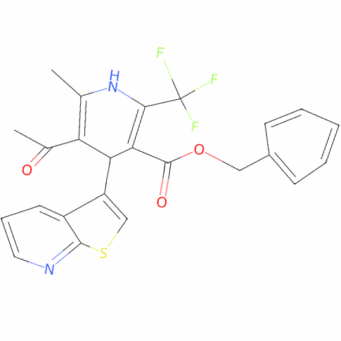 CC(=O)C1=C(C)NC(C(F)(F)F)=C(C(=O)OCc2ccccc2)C1c1csc2ncccc12